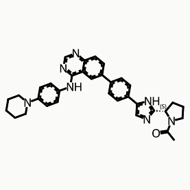 CC(=O)N1CCC[C@H]1c1ncc(-c2ccc(-c3ccc4ncnc(Nc5ccc(N6CCCCC6)cc5)c4c3)cc2)[nH]1